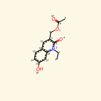 CCn1c(=O)c(COC(C)=O)cc2ccc(O)cc21